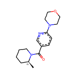 C[C@H]1CCCCN1C(=O)c1ccc(N2CCOCC2)nc1